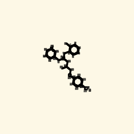 Cc1ccccc1CN(Cc1cccnc1)CC(C)COc1ccc(C(F)(F)F)cc1